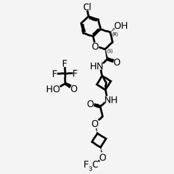 O=C(CO[C@H]1C[C@@H](OC(F)(F)F)C1)NC12CC(NC(=O)[C@@H]3C[C@@H](O)c4cc(Cl)ccc4O3)(C1)C2.O=C(O)C(F)(F)F